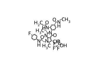 C=CC(=O)Nc1cc(C(=O)NCC)ccc1-n1c(CC)nc2c(c(C)c(C)n2CC(=O)Nc2ccc(F)cc2)c1=O.O=C(O)C(F)(F)F